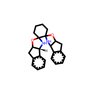 c1ccc2c(c1)CC1OC3(CCCCC34N[C@@H]3c5ccccc5CC3O4)NC21